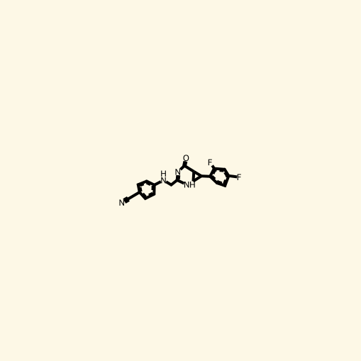 N#Cc1ccc(NCC2=NC(=O)C3C(N2)C3c2ccc(F)cc2F)cc1